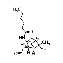 CCCCCC(=O)N[C@H]1C[C@H]2C[C@@H]([C@@H]1CC=O)C2(C)C